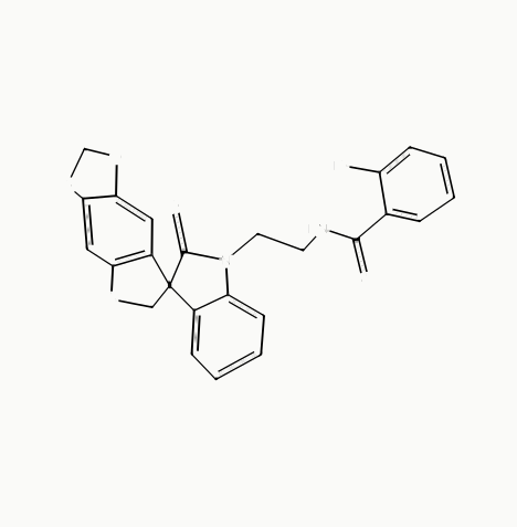 O=C(NCCN1C(=O)C2(COc3cc4c(cc32)OCO4)c2ccccc21)c1ccccc1O